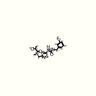 COC(C)C(=O)N(C)Cc1nsc(NC(=O)NCc2cccc(F)c2)n1